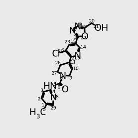 Cc1ccc(NC(=O)N2CC=C(c3ncc(-c4nnc(CO)o4)cc3Cl)CC2)nc1